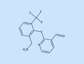 NCc1cccc(C(F)(F)F)c1Sc1ncccc1C=O